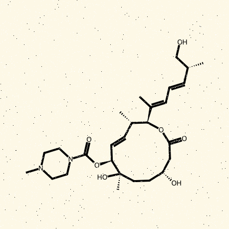 C/C(=C\C=C\[C@@H](C)CO)[C@H]1OC(=O)C[C@H](O)CC[C@@](C)(O)[C@@H](OC(=O)N2CCN(C)CC2)/C=C/[C@@H]1C